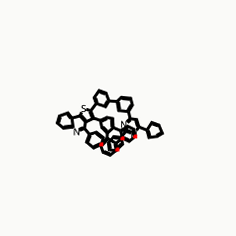 c1ccc(-c2cc(-c3cccc(-c4cccc(-c5sc6c(c(-c7ccccc7)nc7ccccc76)c5-c5ccc6c7ccccc7c7ccccc7c6c5)c4)c3)nc(-c3ccccc3)n2)cc1